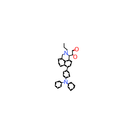 CCCN1Cc2cccc3c(-c4ccc(N(c5ccccc5)c5ccccc5)cc4)ccc(c23)C1C(=O)C=O